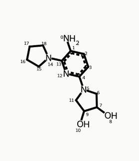 Nc1ccc(N2CC(O)C(O)C2)nc1N1CCCC1